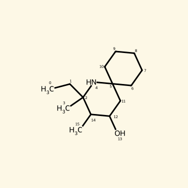 CCC1(C)NC2(CCCCC2)CC(O)C1C